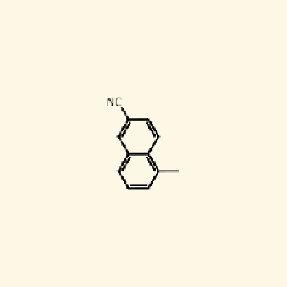 Cc1cccc2cc(C#N)ccc12